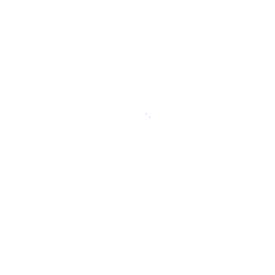 [S]c1ccc2ccccc2n1